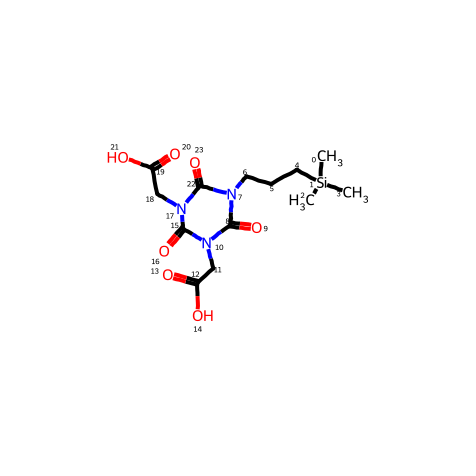 C[Si](C)(C)CCCn1c(=O)n(CC(=O)O)c(=O)n(CC(=O)O)c1=O